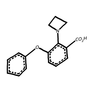 O=C(O)c1cccc(Oc2ccccc2)c1N1CCC1